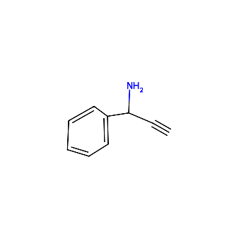 C#CC(N)c1ccccc1